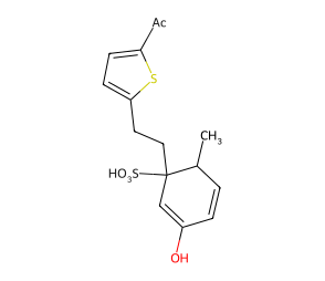 CC(=O)c1ccc(CCC2(S(=O)(=O)O)C=C(O)C=CC2C)s1